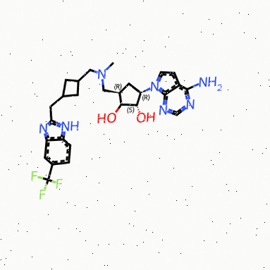 CN(CC1CC(Cc2nc3cc(C(F)(F)F)ccc3[nH]2)C1)C[C@H]1C[C@@H](n2ccc3c(N)ncnc32)[C@H](O)C1O